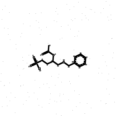 CC(=O)OC(CCS(=O)(=O)Cl)COCc1ccccc1